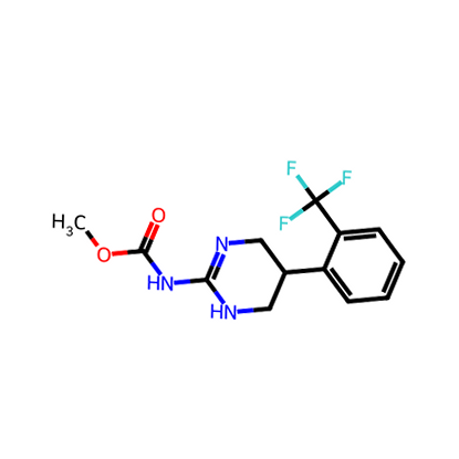 COC(=O)NC1=NCC(c2ccccc2C(F)(F)F)CN1